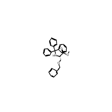 COC(=O)[C@H](COCc1ccccc1)NC(c1ccccc1)(c1ccccc1)c1ccccc1